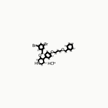 Brc1cc(Br)cc(COC2CNCCC2c2ccc(OCCCOCc3ccccc3)cc2)c1.Cl